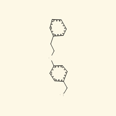 ClCc1ccc(OCCc2ccccc2)cc1